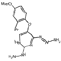 COc1ccc(OC2=CNC(NN)N=C2N=NN)c(C(C)C)c1